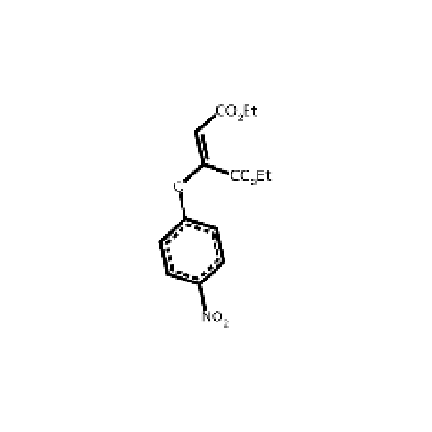 CCOC(=O)/C=C(/Oc1ccc([N+](=O)[O-])cc1)C(=O)OCC